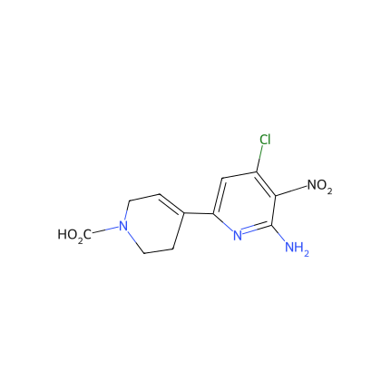 Nc1nc(C2=CCN(C(=O)O)CC2)cc(Cl)c1[N+](=O)[O-]